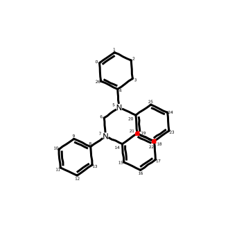 C1=CCCC(N(CN(c2ccccc2)c2ccccc2)c2ccccc2)=C1